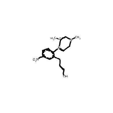 C[C@H]1CN(C)CCN1c1ccc([N+](=O)[O-])cc1CCCO